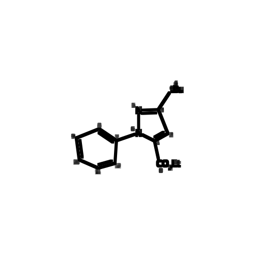 CCOC(=O)c1cc(C(C)(C)C)nn1-c1ccccc1